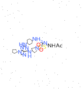 CC(=O)Nc1nc(C)c(S(=O)(=O)N2CCC(Nc3nc(N[C@H]4CC[C@H](N)CC4)nc4c3ncn4C3CCCC3)CC2)s1